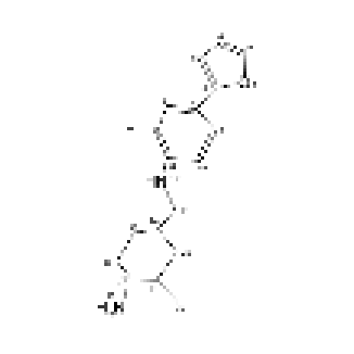 Cc1cc(-c2ccco2)ccc1NCC1CC[C@@H](N)C(C)C1